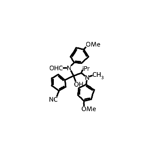 COc1ccc(N(C)C(C(C)C)C(O)(c2cccc(C#N)c2)N(C=O)c2ccc(OC)cc2)cc1